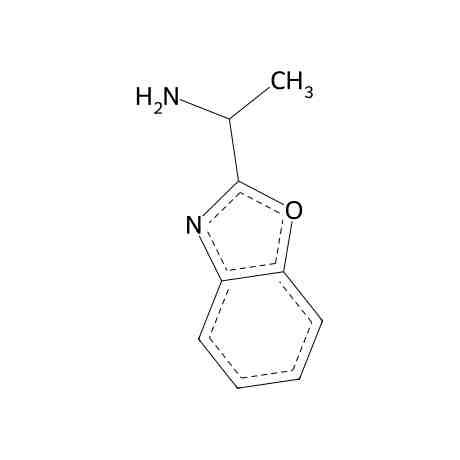 CC(N)c1nc2ccccc2o1